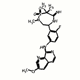 COc1cnc2c(Nc3ccc(F)c(C4CN(C)S(=O)(=O)C(C)(C)C(=N)N4)c3)nccc2c1